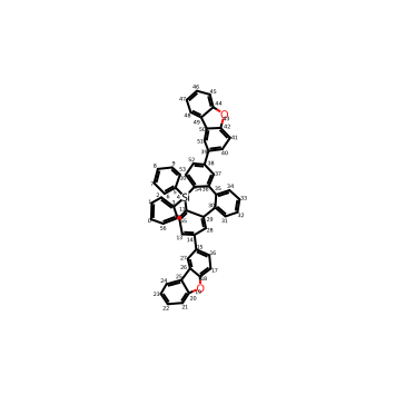 c1ccc([Si]2(c3ccccc3)c3ccc(-c4ccc5oc6ccccc6c5c4)cc3-c3ccccc3-c3cc(-c4ccc5oc6ccccc6c5c4)ccc32)cc1